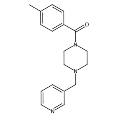 Cc1ccc(C(=O)N2CCN(Cc3cccnc3)CC2)cc1